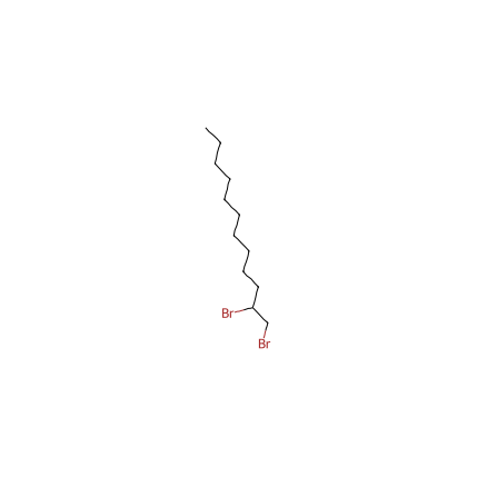 CCCCCCCCCCC(Br)CBr